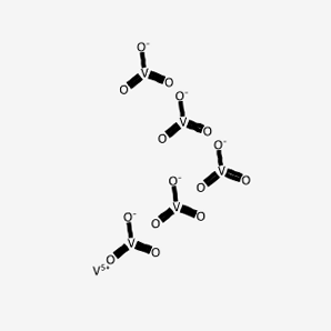 [O]=[V](=[O])[O-].[O]=[V](=[O])[O-].[O]=[V](=[O])[O-].[O]=[V](=[O])[O-].[O]=[V](=[O])[O-].[V+5]